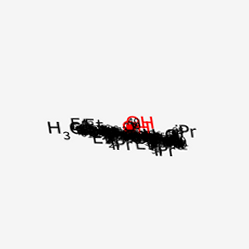 CCC1(CC)c2cc(C)ccc2-c2ccc(-c3ccc4c(c3)C(CC)(CCC(C)C)c3cc(-c5ccc6c(c5)C(CO)(CCCO)c5cc(-c7ccc8c(c7)C(CC)(CCC(C)C)c7cc(-c9ccc%10c(c9)C(C)(CCC(C)C)c9ccccc9-%10)ccc7-8)ccc5-6)ccc3-4)cc21